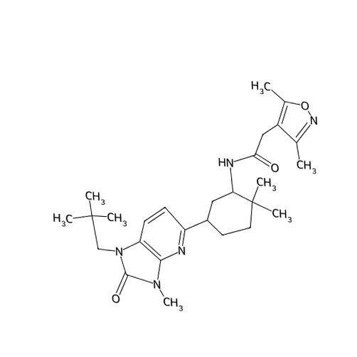 Cc1noc(C)c1CC(=O)NC1CC(c2ccc3c(n2)n(C)c(=O)n3CC(C)(C)C)CCC1(C)C